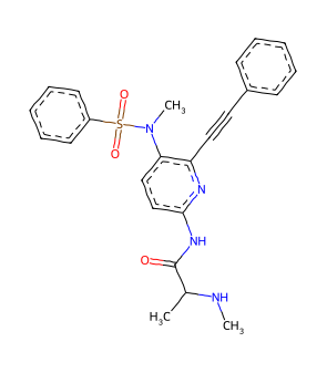 CNC(C)C(=O)Nc1ccc(N(C)S(=O)(=O)c2ccccc2)c(C#Cc2ccccc2)n1